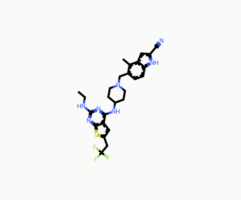 CCNc1nc(NC2CCN(Cc3ccc4[nH]c(C#N)cc4c3C)CC2)c2cc(CC(F)(F)F)sc2n1